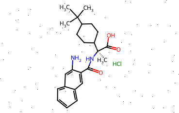 CC(C)(C)C1CCC([C@](C)(NC(=O)c2cc3ccccc3cc2N)C(=O)O)CC1.Cl